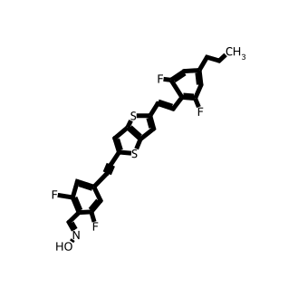 CCCc1cc(F)c(/C=C/c2cc3sc(C#Cc4cc(F)c(/C=N/O)c(F)c4)cc3s2)c(F)c1